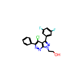 OCCn1nc(-c2cc(F)cc(F)c2)c2c(Cl)c(-c3ccccc3)nnc21